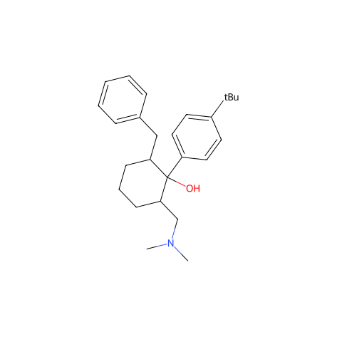 CN(C)CC1CCCC(Cc2ccccc2)C1(O)c1ccc(C(C)(C)C)cc1